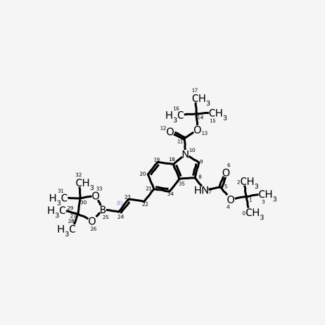 CC(C)(C)OC(=O)Nc1cn(C(=O)OC(C)(C)C)c2ccc(C/C=C/B3OC(C)(C)C(C)(C)O3)cc12